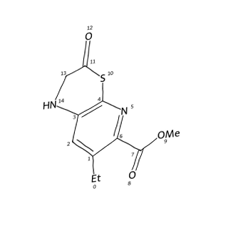 CCc1cc2c(nc1C(=O)OC)SC(=O)CN2